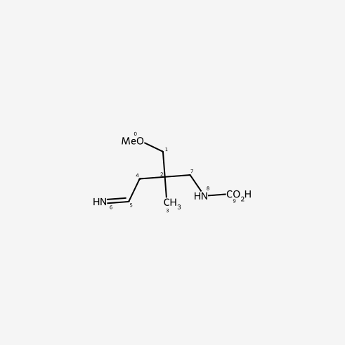 COCC(C)(CC=N)CNC(=O)O